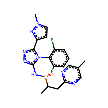 Cc1cnc(CC(C)[S+]([O-])Nc2nnc(-c3ccn(C)n3)n2-c2c(F)cccc2F)nc1